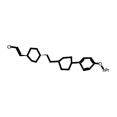 CCCOc1ccc(C2CCC(CC[C@H]3CC[C@H](/C=C/Cl)CC3)CC2)cc1